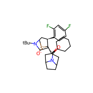 C[S+]([O-])CC1(C2CCCCC2)CC2CCC(C1)N2C(=O)[C@@H]1CN(C(C)(C)C)C[C@H]1c1ccc(F)cc1F